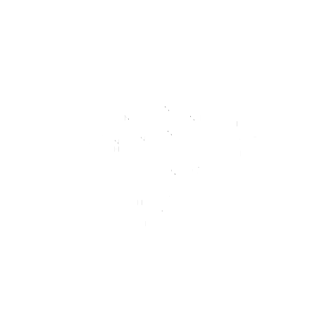 CN(CCn1c(Nc2cc(Cl)cc(C(F)(F)F)c2)nc2cnc(NC3CCCC3)nc21)C(=O)OC(C)(C)C